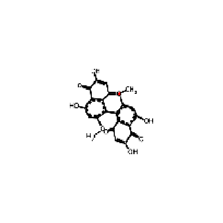 COc1cc(O)c2c(c1-c1c(OC)cc(O)c3c1C(=O)C=C(O)C3=O)C(=O)C=C(O)C2=O